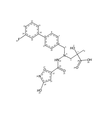 CC(O)(CN(Cc1ccc(-c2cccc(F)c2)cc1)NC(=O)c1cc(O)no1)C(=O)O